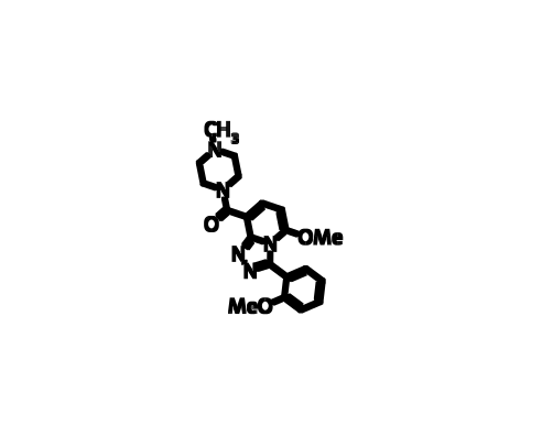 COc1ccccc1-c1nnc2c(C(=O)N3CCN(C)CC3)ccc(OC)n12